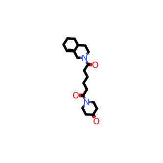 O=C1CCN(C(=O)CCCCC(=O)N2CCC3CCCC=C3C2)CC1